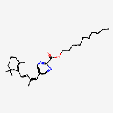 CCCCCCCCCCOC(=O)c1ncc(C=C(C)C=CC2=C(C)CCCC2(C)C)cn1